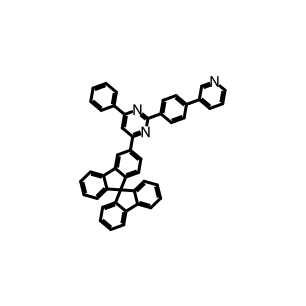 c1ccc(-c2cc(-c3ccc4c(c3)-c3ccccc3C43c4ccccc4-c4ccccc43)nc(-c3ccc(-c4cccnc4)cc3)n2)cc1